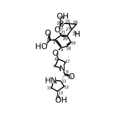 O=C(O)c1c(OC2CN(C(=O)[C@@H]3C[C@@H](O)CN3)C2)ccc2c1OB(O)C1C[C@@H]21